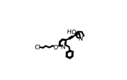 O[C@]1(C#Cc2ccc(OCCCCCl)nc2Cc2ccccc2)CN2CCC1CC2